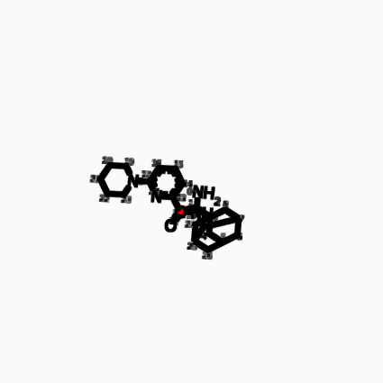 NC(=O)C12CC3CC(C1)C(NC(=O)c1cccc(N4CCCCC4)n1)C(C3)C2